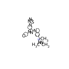 C=NN(C)/C=C(\C)c1ccc2c(c1)CCCN2c1nn(C2CCOCC2)c2c1CN(c1nncs1)CC2